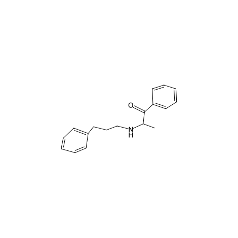 CC(NCCCc1ccccc1)C(=O)c1ccccc1